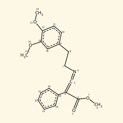 COC(=O)C(=C=NCCc1ccc(OC)c(OC)c1)c1ccccc1